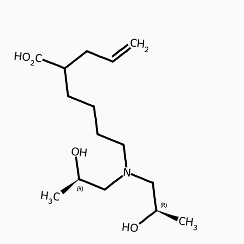 C=CCC(CCCCN(C[C@@H](C)O)C[C@@H](C)O)C(=O)O